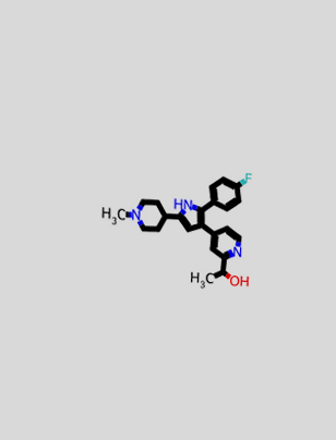 CC(O)c1cc(-c2cc(C3CCN(C)CC3)[nH]c2-c2ccc(F)cc2)ccn1